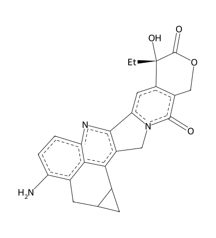 CC[C@@]1(O)C(=O)OCc2c1cc1n(c2=O)Cc2c-1nc1ccc(N)c3c1c2C1CC1C3